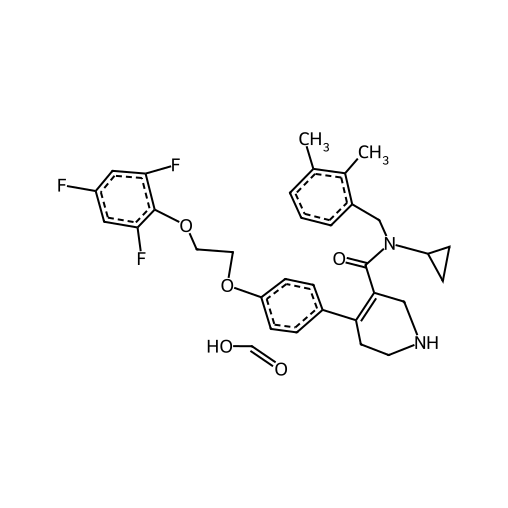 Cc1cccc(CN(C(=O)C2=C(c3ccc(OCCOc4c(F)cc(F)cc4F)cc3)CCNC2)C2CC2)c1C.O=CO